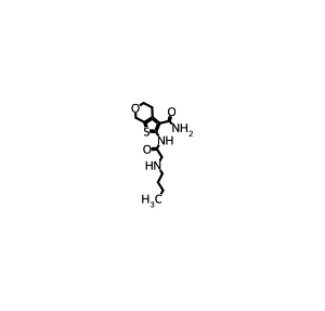 CCCCNCC(=O)Nc1sc2c(c1C(N)=O)CCOC2